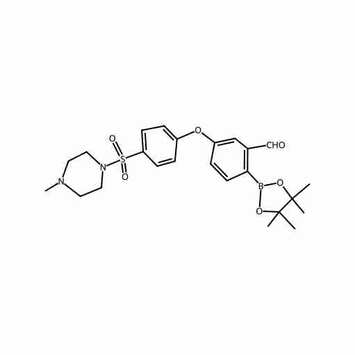 CN1CCN(S(=O)(=O)c2ccc(Oc3ccc(B4OC(C)(C)C(C)(C)O4)c(C=O)c3)cc2)CC1